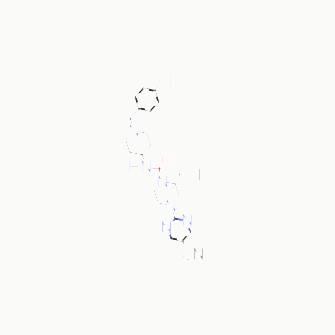 C[C@@H]1CN(c2ncc(C#N)cn2)CCN1C(=O)NC1CCN(Cc2ccc(Cl)cc2)CC1